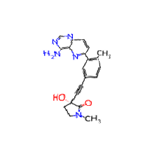 Cc1ccc(C#C[C@]2(O)CCN(C)C2=O)cc1-c1ccc2ncnc(N)c2n1